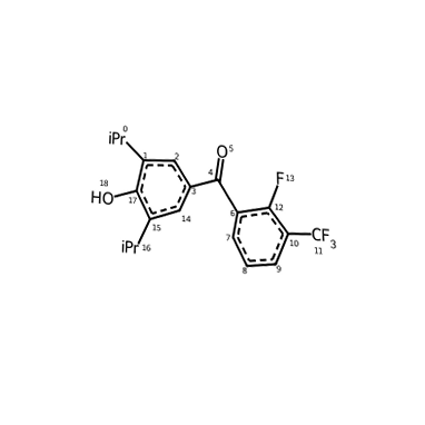 CC(C)c1cc(C(=O)c2cccc(C(F)(F)F)c2F)cc(C(C)C)c1O